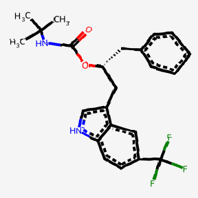 CC(C)(C)NC(=O)O[C@H](Cc1ccccc1)Cc1c[nH]c2ccc(C(F)(F)F)cc12